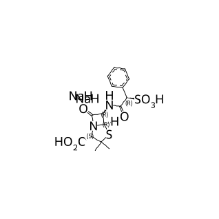 CC1(C)S[C@@H]2[C@H](NC(=O)[C@@H](c3ccccc3)S(=O)(=O)O)C(=O)N2[C@H]1C(=O)O.[NaH].[NaH]